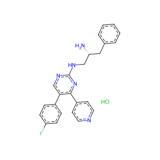 Cl.N[C@@H](CNc1ncc(-c2ccc(F)cc2)c(-c2ccncc2)n1)Cc1ccccc1